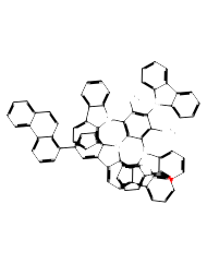 N#Cc1c(-n2c3ccccc3c3ccccc32)c(C#N)c(-n2c3ccccc3c3ccccc32)c(-n2c3ccc(-c4cccc5c4ccc4ccccc45)cc3c3ccc4c5ccccc5oc4c32)c1-n1c2ccccc2c2ccccc21